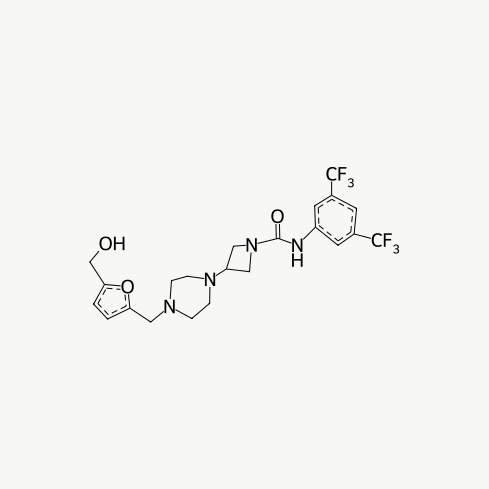 O=C(Nc1cc(C(F)(F)F)cc(C(F)(F)F)c1)N1CC(N2CCN(Cc3ccc(CO)o3)CC2)C1